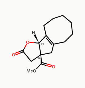 COC(=O)[C@@]12CC(=O)O[C@@H]1C1=C(CCCCCC1)C2